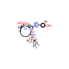 CC(C)(C)OC(=O)N[C@@H]1CCCCC/C=C\[C@@H]2C[C@]2(C(=O)O)NC(=O)[C@@H]2C[C@H](n3nnc(-c4ccc(O)c(Br)c4)n3)CN2C1=O